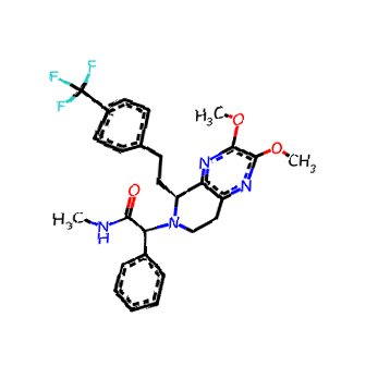 CNC(=O)C(c1ccccc1)N1CCc2nc(OC)c(OC)nc2[C@@H]1CCc1ccc(C(F)(F)F)cc1